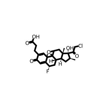 C[C@H]1C[C@H]2[C@@H]3C[C@H](F)C4=CC(=O)C(CCC(=O)O)=C[C@]4(C)C34OC4C[C@]2(C)[C@@]1(O)C(=O)CCl